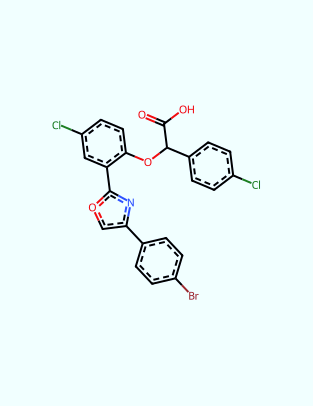 O=C(O)C(Oc1ccc(Cl)cc1-c1nc(-c2ccc(Br)cc2)co1)c1ccc(Cl)cc1